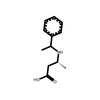 CC(N[C@H](C)CC(=O)O)c1ccccc1